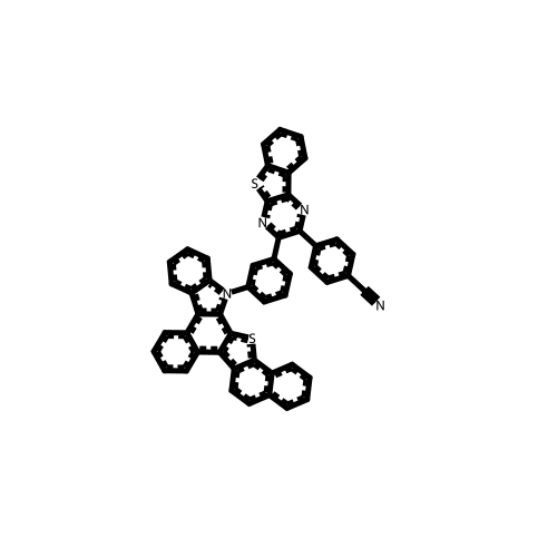 N#Cc1ccc(-c2nc3c(nc2-c2cccc(-n4c5ccccc5c5c6ccccc6c6c7ccc8ccccc8c7sc6c54)c2)sc2ccccc23)cc1